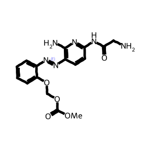 COC(=O)OCOc1ccccc1/N=N/c1ccc(NC(=O)CN)nc1N